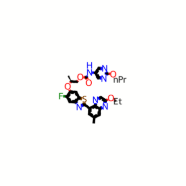 CCCOc1ncc(NC(=O)OC[C@H](C)Oc2cc3sc(-c4cc(C)cc5nc(OCC)cnc45)nc3cc2F)cn1